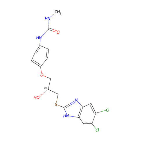 CNC(=O)Nc1ccc(OC[C@@H](O)CSc2nc3cc(Cl)c(Cl)cc3[nH]2)cc1